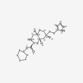 O=C(OC1CCCCC1)[C@@H]1C[C@H]2C[C@@](F)(CCc3nnn[nH]3)CC[C@H]2CN1